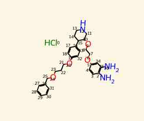 Cl.Nc1ccc(OCCOC2CNCCC2c2ccc(OCCCOCc3ccccc3)cc2)cc1N